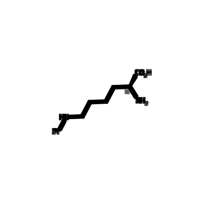 CC(C)NCCCC[C@H](N)C(=O)O